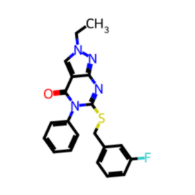 CCn1cc2c(=O)n(-c3ccccc3)c(SCc3cccc(F)c3)nc2n1